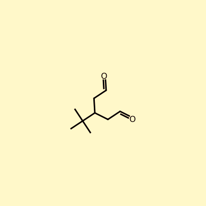 CC(C)(C)C(CC=O)CC=O